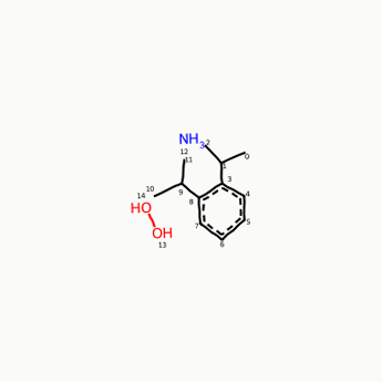 CC(C)c1ccccc1C(C)C.N.OO